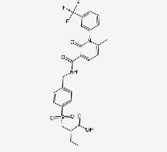 CCC(CS(=O)(=O)c1ccc(CNC(=O)c2ccc(C)n(-c3cccc(C(F)(F)F)c3)c2=O)cc1)C(=O)O